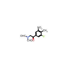 Cc1c(F)cc(C(=O)CN(C=O)C=O)cc1[N+](=O)[O-]